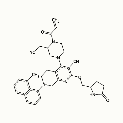 C=CC(=O)N1CCN(c2c(C#N)c(OCC3CCC(=O)N3)nc3c2CCN(c2cccc4cccc(C)c24)C3)CC1CC#N